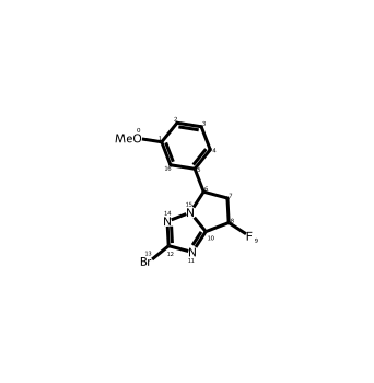 COc1cccc(C2CC(F)c3nc(Br)nn32)c1